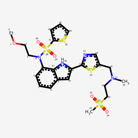 CCOCCN(c1cccc2cc(-c3ncc(CN(C)CCS(C)(=O)=O)s3)[nH]c12)S(=O)(=O)c1cccs1